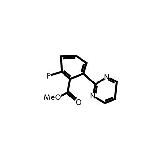 COC(=O)c1c(F)cccc1-c1ncccn1